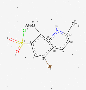 COc1c(S(=O)(=O)Cl)cc(Br)c2ccc(C)nc12